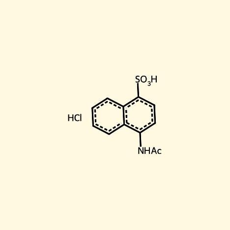 CC(=O)Nc1ccc(S(=O)(=O)O)c2ccccc12.Cl